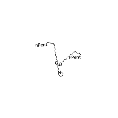 CCCCC/C=C\C/C=C\CCCCCCCCON(CCCN1CCCCC1)OCCCCCCCC/C=C\C/C=C\CCCCC